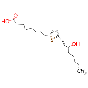 CCCCCC(O)C=Cc1ccc(CCCCCCCC(=O)O)s1